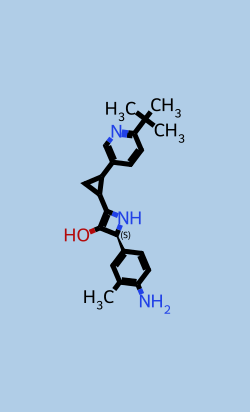 Cc1cc([C@@H]2NC(C3CC3c3ccc(C(C)(C)C)nc3)=C2O)ccc1N